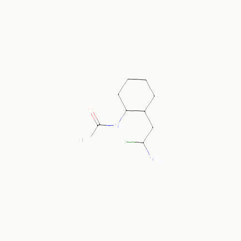 CC(=O)NC1CCCCC1CC(N)Cl